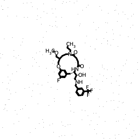 CCCN1CCC(COC)COc2cc(F)cc(c2)C[C@@H]([C@H](O)CNCc2cccc(C(F)(F)F)c2)NC(=O)CCC1=O